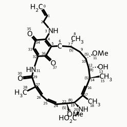 C=CCNC1=C2C[C@H](C)C[C@H](OC)[C@H](O)[C@@H](C)C=C(C)[C@@H](NC(=O)O)[C@@H](OC)C=CC=C(C)C(=O)NC(=CC1=O)C2=O